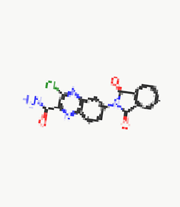 NC(=O)c1nc2ccc(N3C(=O)c4ccccc4C3=O)cc2nc1Cl